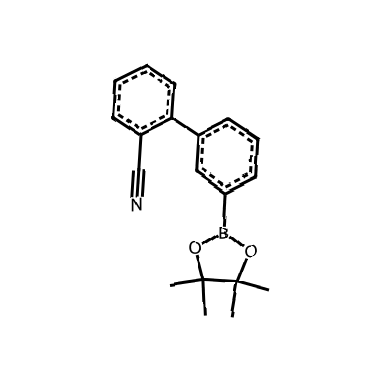 CC1(C)OB(c2cccc(-c3ccccc3C#N)c2)OC1(C)C